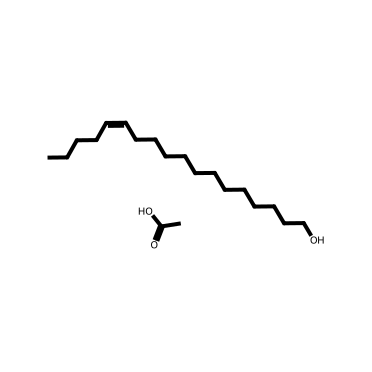 CC(=O)O.CCCC/C=C\CCCCCCCCCCCCO